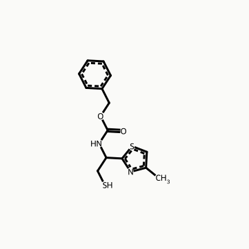 Cc1csc(C(CS)NC(=O)OCc2ccccc2)n1